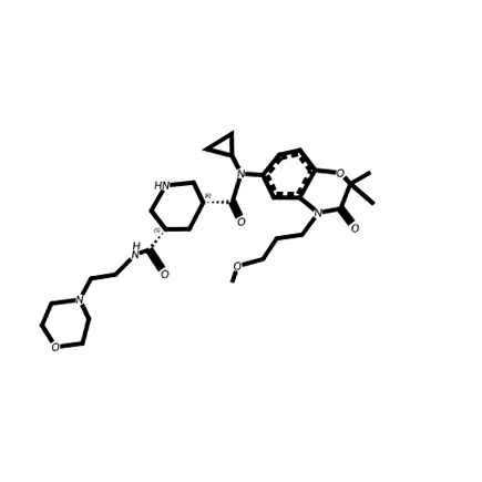 COCCCN1C(=O)C(C)(C)Oc2ccc(N(C(=O)[C@H]3CNC[C@@H](C(=O)NCCN4CCOCC4)C3)C3CC3)cc21